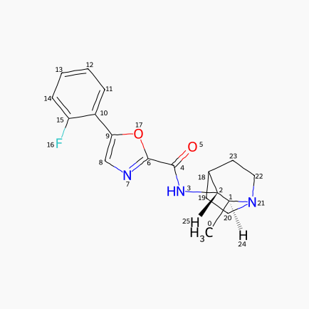 C[C@H]1[C@H](NC(=O)c2ncc(-c3ccccc3F)o2)C2CCN1CC2